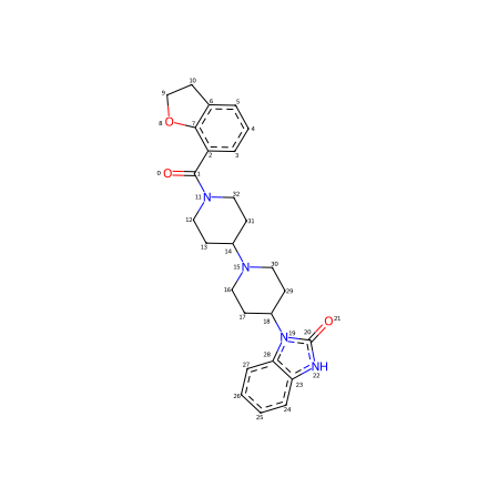 O=C(c1cccc2c1OCC2)N1CCC(N2CCC(n3c(=O)[nH]c4ccccc43)CC2)CC1